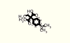 CCC(C(C)=O)(C(=O)O)c1ccc(N(C)C)cc1